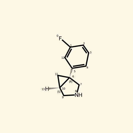 Fc1cccc([C@]23CNC[C@H]2C3)c1